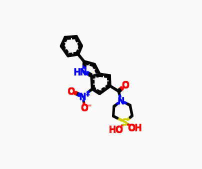 O=C(c1cc([N+](=O)[O-])c2[nH]c(-c3ccccc3)cc2c1)N1CCS(O)(O)CC1